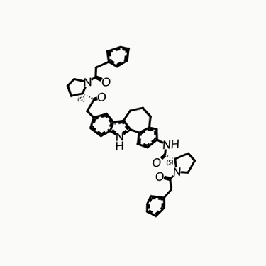 O=C(Cc1ccc2[nH]c3c(c2c1)CCCc1cc(NC(=O)[C@@H]2CCCN2C(=O)Cc2ccccc2)ccc1-3)[C@@H]1CCCN1C(=O)Cc1ccccc1